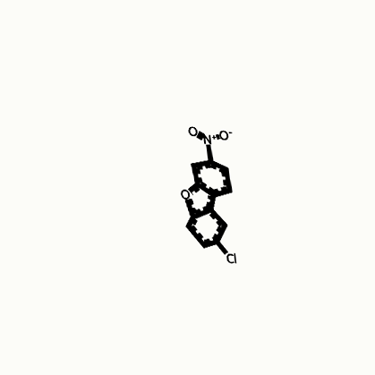 O=[N+]([O-])c1ccc2c(c1)oc1ccc(Cl)cc12